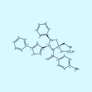 CC(C)C[C@]1(OC(=O)O)C[C@H](c2cnccn2)[C@H](c2csc(-c3ccccc3)n2)N1C(=O)c1ccc(C(C)(C)C)cc1